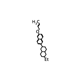 CC=CCOc1ccc2cc(C3CCC4CC(CC)CCC4C3)ccc2c1